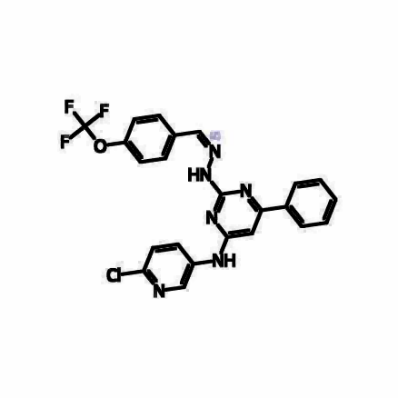 FC(F)(F)Oc1ccc(/C=N\Nc2nc(Nc3ccc(Cl)nc3)cc(-c3ccccc3)n2)cc1